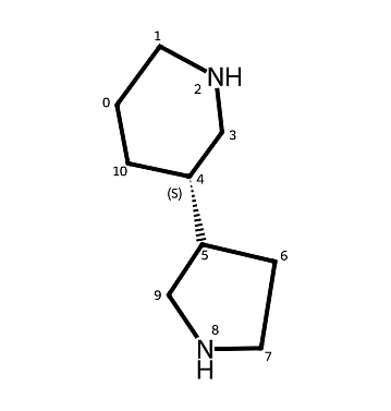 C1CNC[C@H](C2CCNC2)C1